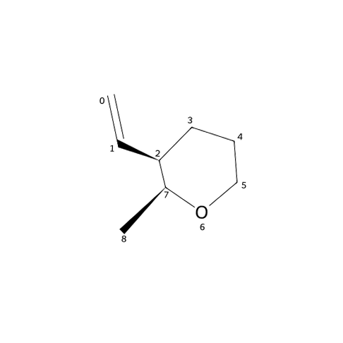 C=C[C@H]1CCCO[C@H]1C